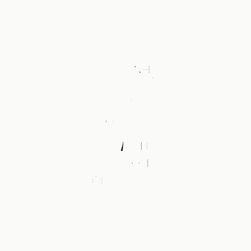 Cl.N[C@@H]1CC[C@@H](C(O)CO)OC1